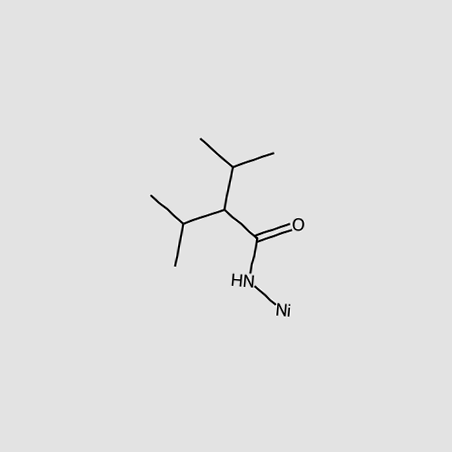 CC(C)C(C(=O)[NH][Ni])C(C)C